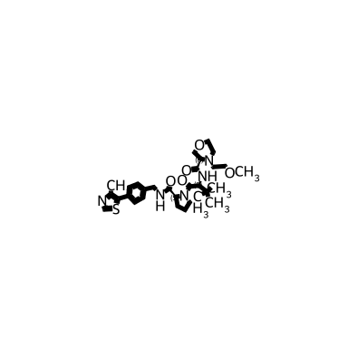 COCCN1CCOC[C@@H]1C(=O)N[C@H](C(=O)N1CCC[C@H]1C(=O)NCc1ccc(-c2scnc2C)cc1)C(C)(C)C